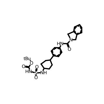 CC(C)(C)OC(=O)NS(=O)(=O)NC1CCC(c2ccc(NC(=O)N3Cc4ccccc4C3)cc2)CC1